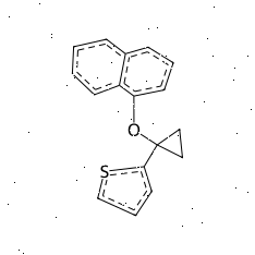 c1csc(C2(Oc3cccc4ccccc34)CC2)c1